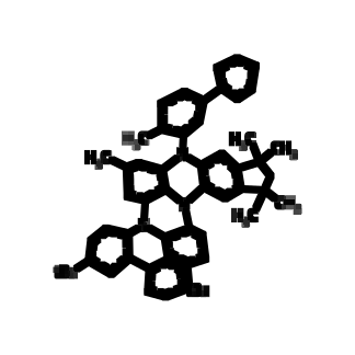 Cc1cc2c3c(c1)N(c1ccc(C(C)(C)C)cc1-c1ccccc1)c1cc(C(C)(C)C)ccc1B3c1cc3c(cc1N2c1cc(-c2ccccc2)ccc1C)C(C)(C)CC3(C)C